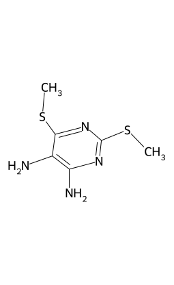 CSc1nc(N)c(N)c(SC)n1